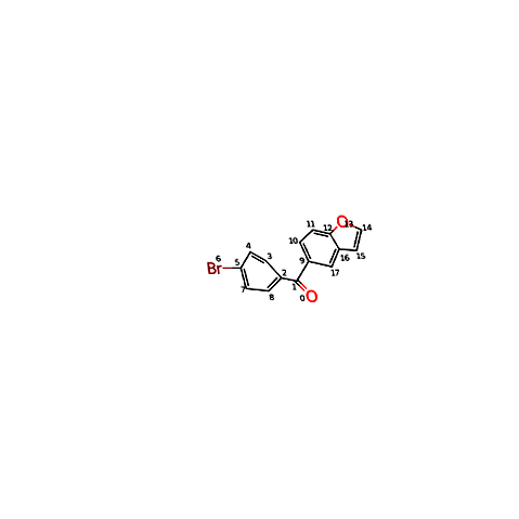 O=C(c1ccc(Br)cc1)c1ccc2occc2c1